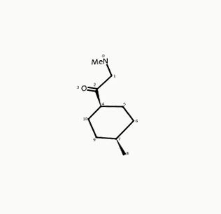 CNCC(=O)[C@H]1CC[C@@H](C)CC1